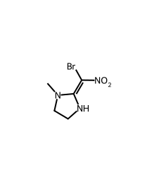 CN1CCNC1=C(Br)[N+](=O)[O-]